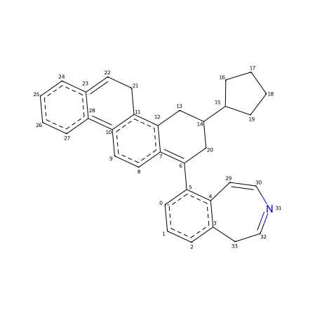 [c]1ccc2c(c1C1=c3ccc4c(c3CC(C3CCCC3)C1)CC=c1ccccc1=4)C=CN=CC2